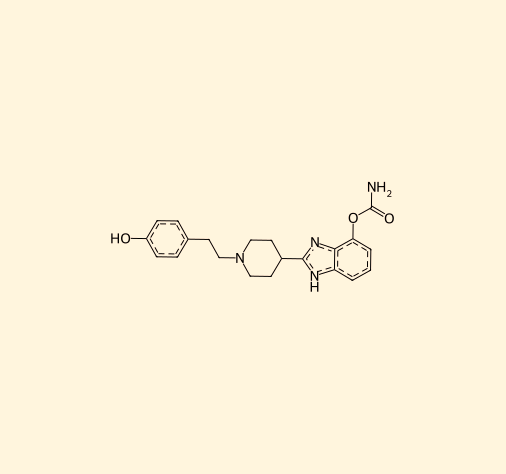 NC(=O)Oc1cccc2[nH]c(C3CCN(CCc4ccc(O)cc4)CC3)nc12